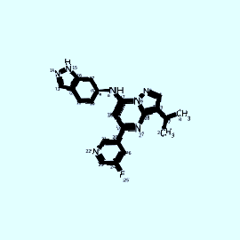 CC(C)c1cnn2c(N[C@H]3CCc4cn[nH]c4C3)cc(-c3cncc(F)c3)nc12